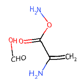 C=C(N)C(=O)ON.O=CO